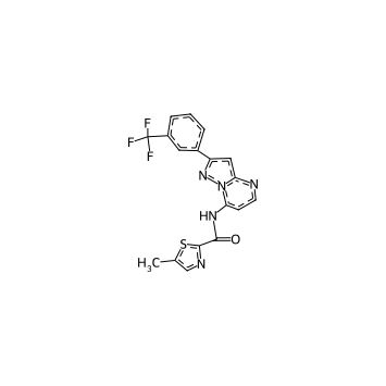 Cc1cnc(C(=O)Nc2ccnc3cc(-c4cccc(C(F)(F)F)c4)nn23)s1